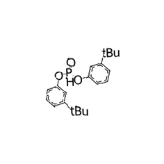 CC(C)(C)c1cccc(O[PH](=O)Oc2cccc(C(C)(C)C)c2)c1